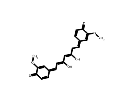 COC1=C\C(=C/C=C(O)/C=C(\O)C/C=C2\C=CC(=O)C(OC)=C2)C=CC1=O